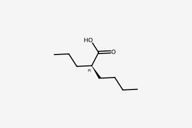 CCCC[C@@H](CCC)C(=O)O